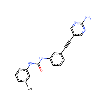 N#Cc1cccc(NC(=O)Nc2cccc(C#Cc3cnc(N)nc3)c2)c1